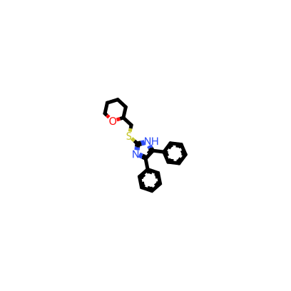 c1ccc(-c2nc(SCC3CCCCO3)[nH]c2-c2ccccc2)cc1